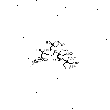 O=C([O-])CC(O)(CC(=O)[O-])C(=O)[O-].O=C([O-])CC(O)(CC(=O)[O-])C(=O)[O-].O=C([O-])CC(O)(CC(=O)[O-])C(=O)[O-].O=C([O-])CC(O)(CC(=O)[O-])C(=O)[O-].[Co+2].[Co+2].[Co+2].[Ni+2].[Ni+2].[Ni+2]